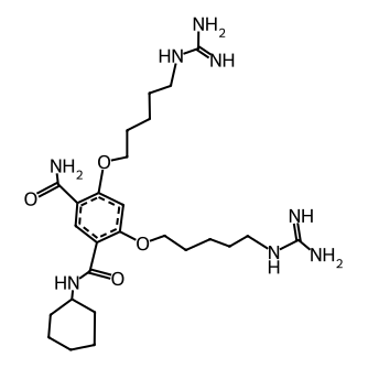 N=C(N)NCCCCCOc1cc(OCCCCCNC(=N)N)c(C(=O)NC2CCCCC2)cc1C(N)=O